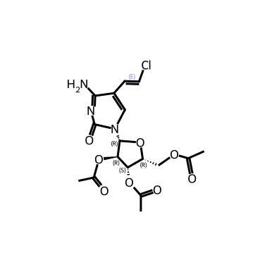 CC(=O)OC[C@H]1O[C@@H](n2cc(/C=C/Cl)c(N)nc2=O)[C@H](OC(C)=O)[C@H]1OC(C)=O